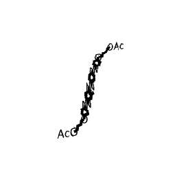 CC(=O)OCCCCOc1ccc(N=Nc2ccc(N=Nc3ccc(N=Nc4ccc(OCCCCOC(C)=O)cc4)cc3C)cc2)cc1